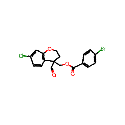 O=CC1(COC(=O)c2ccc(Br)cc2)CCOc2cc(Cl)ccc21